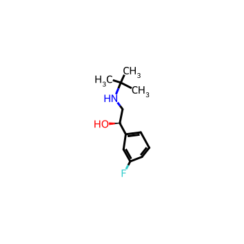 CC(C)(C)NC[C@H](O)c1cccc(F)c1